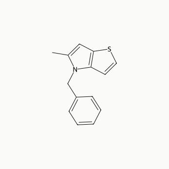 Cc1cc2sccc2n1Cc1ccccc1